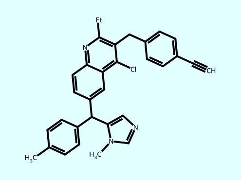 C#Cc1ccc(Cc2c(CC)nc3ccc(C(c4ccc(C)cc4)c4cncn4C)cc3c2Cl)cc1